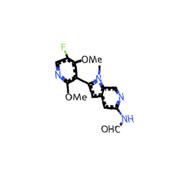 COc1ncc(F)c(OC)c1-c1cc2cc(NC=O)ncc2n1C